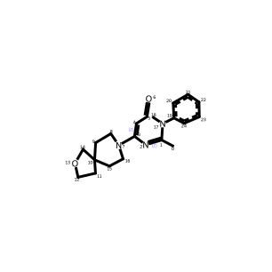 C/C(=N/C(=C\C=O)N1CCC2(CCOC2)CC1)N(C)c1ccccc1